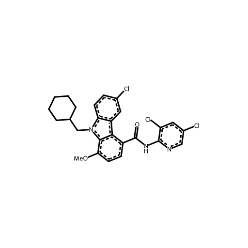 COc1ccc(C(=O)Nc2ncc(Cl)cc2Cl)c2c3cc(Cl)ccc3n(CC3CCCCC3)c12